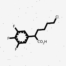 O=C(O)C(CCCCCl)c1cc(F)c(F)c(F)c1